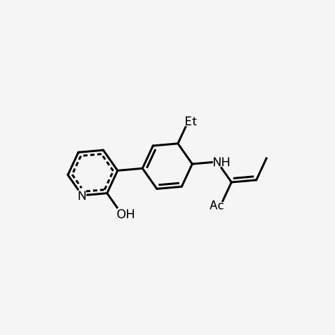 C/C=C(\NC1C=CC(c2cccnc2O)=CC1CC)C(C)=O